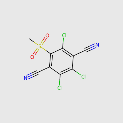 CS(=O)(=O)c1c(Cl)c(C#N)c(Cl)c(Cl)c1C#N